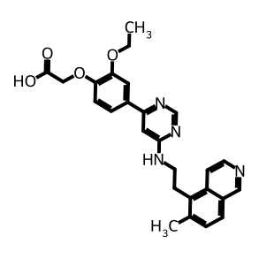 CCOc1cc(-c2cc(NCCc3c(C)ccc4cnccc34)ncn2)ccc1OCC(=O)O